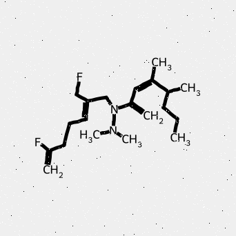 C=C(F)CC/C=C(\CF)CN(C(=C)/C=C(/C)C(C)CCC)N(C)C